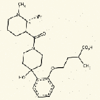 CCC[C@@H]1C(C(=O)N2CCC(O)(c3ccccc3OCCC(C)C(=O)O)CC2)CCCN1C